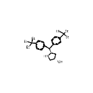 CCC(CC)(CC)c1ccc(C(c2ccc(C(CC)(CC)CC)cc2)[C@H]2C[C@H](O)CN2)cc1